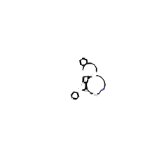 CN1C/C=C/CCCCN2CCCCc3cc(Cl)ccc3COc3ccc(cc32)[C@](O)(C(=O)Nc2ccc(C(=O)O)cc2)CC1=O